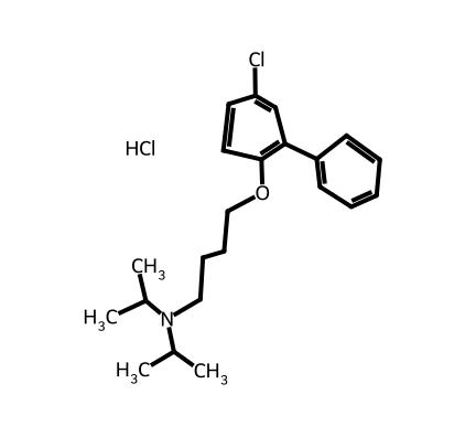 CC(C)N(CCCCOc1ccc(Cl)cc1-c1ccccc1)C(C)C.Cl